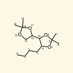 CCCCC1OC(C)(C)OC1C1COC(C)(C)O1